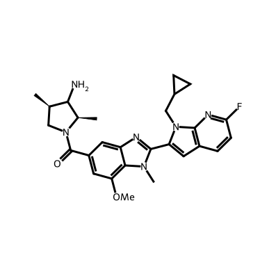 COc1cc(C(=O)N2C[C@@H](C)C(N)[C@H]2C)cc2nc(-c3cc4ccc(F)nc4n3CC3CC3)n(C)c12